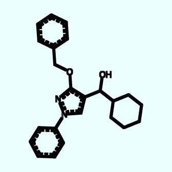 OC(c1cn(-c2ccccc2)nc1OCc1ccccc1)C1CCCCC1